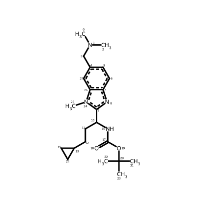 CN(C)Cc1ccc2nc(C(CCC3CC3)NC(=O)OC(C)(C)C)n(C)c2c1